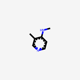 CNc1ccn[c]c1C